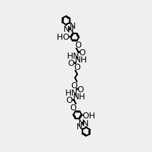 O=C(COc1ccc(-n2nc3ccccc3n2)c(O)c1)NNC(=O)OCCCCOC(=O)NNC(=O)COc1ccc(-n2nc3ccccc3n2)c(O)c1